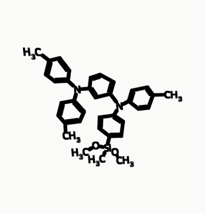 CO[Si](C)(OC)c1ccc(N(c2ccc(C)cc2)c2cccc(N(c3ccc(C)cc3)c3ccc(C)cc3)c2)cc1